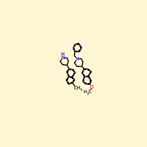 COc1ccc2cc(C3CCN(Cc4ccccc4)CC3)ccc2c1.Cc1ccc2cc(C3CCNCC3)ccc2c1